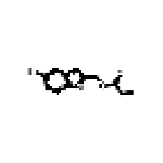 CCC(=O)OCc1cc2cc(Br)ccc2[nH]1